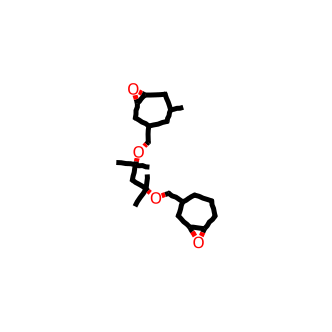 CC1CC(COC(C)(C)CC(C)(C)OCC2CCCC3OC3C2)CC2OC2C1